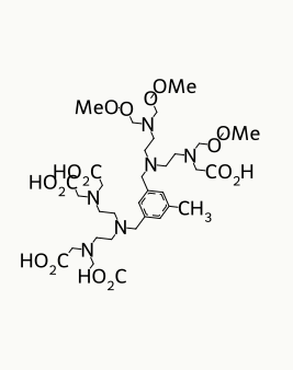 COOCN(CCN(CCN(COOC)CC(=O)O)Cc1cc(C)cc(CN(CCN(CC(=O)O)CC(=O)O)CCN(CC(=O)O)CC(=O)O)c1)COOC